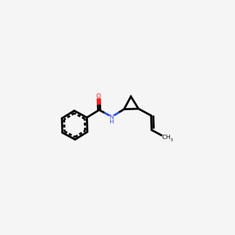 CC=CC1CC1NC(=O)c1ccccc1